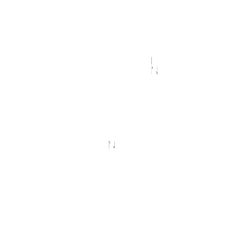 CCN(CC)CC1CNC1